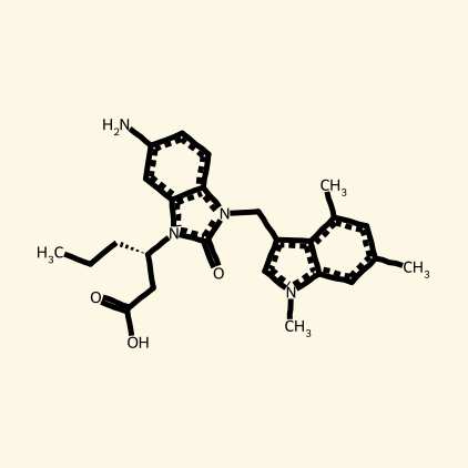 CCC[C@@H](CC(=O)O)n1c(=O)n(Cc2cn(C)c3cc(C)cc(C)c23)c2ccc(N)cc21